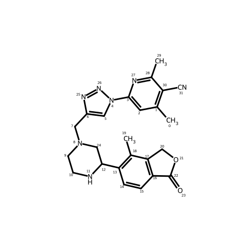 Cc1cc(-n2cc(CN3CCNC(c4ccc5c(c4C)COC5=O)C3)nn2)nc(C)c1C#N